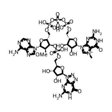 CO[C@@H]1[C@H](OP(=O)(O)OC[C@H]2O[C@@H](n3nnc4c(=O)[nH]c(N)nc43)[C@H](O)[C@@H]2O)[C@@H](COP(=O)(O)OP(=O)(O)OP(=O)(O)OC[C@@H]2O[C@H](n3c[n+](C)c4c(=O)[nH]c(N)nc43)[C@@H](O)[C@H]2O)O[C@H]1n1cnc2c(N)ncnc21